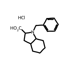 Cl.O=C(O)C1CC2CCCCC2N1Cc1ccccc1